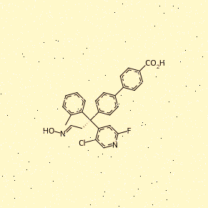 Cc1ccccc1[C@@](CC=NO)(c1ccc(-c2ccc(C(=O)O)cc2)cc1)c1cc(F)ncc1Cl